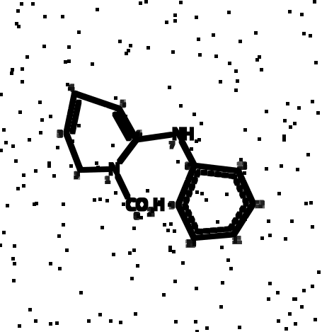 O=C(O)N1CC=CC=C1Nc1ccccc1